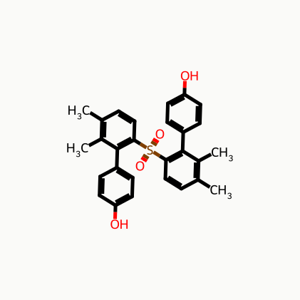 Cc1ccc(S(=O)(=O)c2ccc(C)c(C)c2-c2ccc(O)cc2)c(-c2ccc(O)cc2)c1C